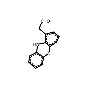 O=[C]Cc1cccc2c1Nc1ccccc1S2